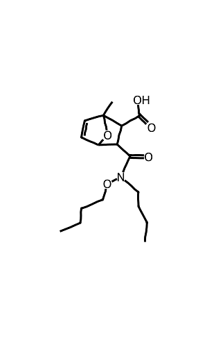 CCCCON(CCCC)C(=O)C1C2C=CC(C)(O2)C1C(=O)O